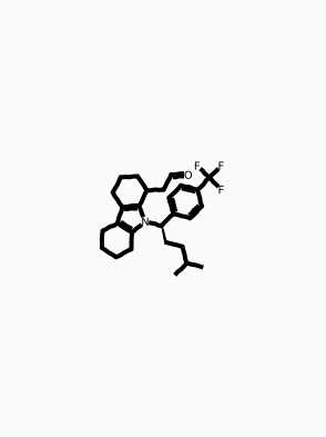 CC(C)CC[C@H](c1ccc(C(F)(F)F)cc1)n1c2c(c3c1C(CC=O)CCC3)CCCC2